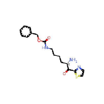 N[C@@H](CCCCNC(=O)OCc1ccccc1)C(=O)c1nccs1